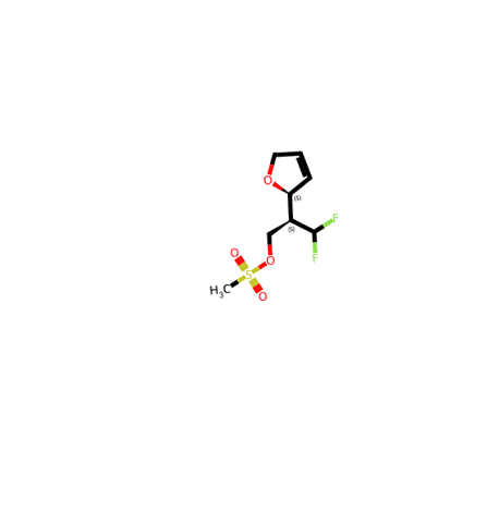 CS(=O)(=O)OC[C@H](C(F)F)[C@@H]1C=CCO1